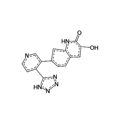 O=c1[nH]c2cc(-c3cnccc3-c3nnn[nH]3)ccc2cc1O